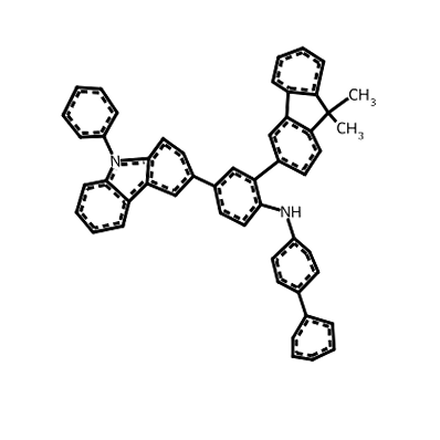 CC1(C)c2ccccc2-c2cc(-c3cc(-c4ccc5c(c4)c4ccccc4n5-c4ccccc4)ccc3Nc3ccc(-c4ccccc4)cc3)ccc21